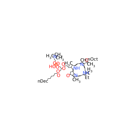 CCCCCCCCCCCCCCCC(=O)OCC(COP(=O)(O)OCC[N+](C)(C)C)OC(=O)CCC1c2[nH]c(cc3nc(cc4[nH]c(cc5nc6c2CC(=O)C6=C5C)c(CC)c4C)C(C(C)OCCCCCCCC)=C3C)C1C